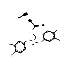 CC#N.Cc1cc(OP(=O)(CNC(=C=O)C#N)Oc2ccc(Cl)c(C)c2)ccc1Cl